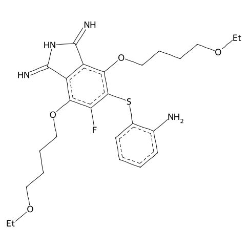 CCOCCCCOc1c(F)c(Sc2ccccc2N)c(OCCCCOCC)c2c1C(=N)NC2=N